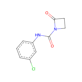 O=C1CCN1C(=O)Nc1cccc(Cl)c1